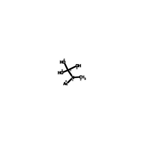 CC(=O)N(C)C(O)(O)O